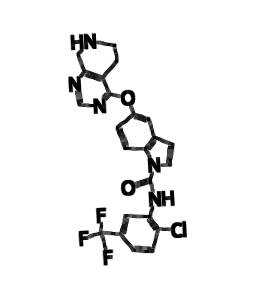 O=C(Nc1cc(C(F)(F)F)ccc1Cl)n1ccc2cc(Oc3ncnc4c3CCNC4)ccc21